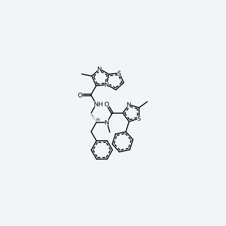 Cc1nc(C(=O)N(C)[C@@H](CNC(=O)c2c(C)nc3sccn23)Cc2ccccc2)c(-c2ccccc2)s1